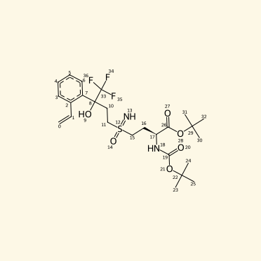 C=Cc1ccccc1C(O)(CCS(=N)(=O)CC[C@H](NC(=O)OC(C)(C)C)C(=O)OC(C)(C)C)C(F)(F)F